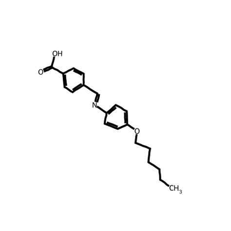 CCCCCCOc1ccc(/N=C/c2ccc(C(=O)O)cc2)cc1